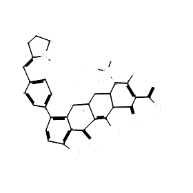 CN1CCCC1=Cc1ccc(-c2ccc(O)c3c2C[C@H]2C[C@H]4[C@@H](N(C)C)C(O)=C(C(N)=O)C(=O)[C@@]4(O)C(O)=C2C3=O)cc1